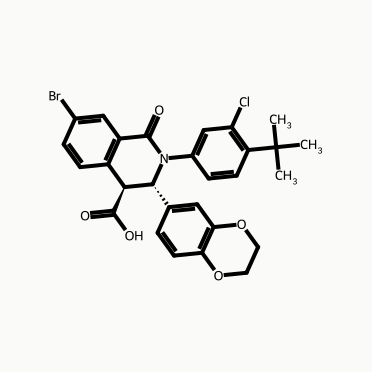 CC(C)(C)c1ccc(N2C(=O)c3cc(Br)ccc3[C@H](C(=O)O)[C@H]2c2ccc3c(c2)OCCO3)cc1Cl